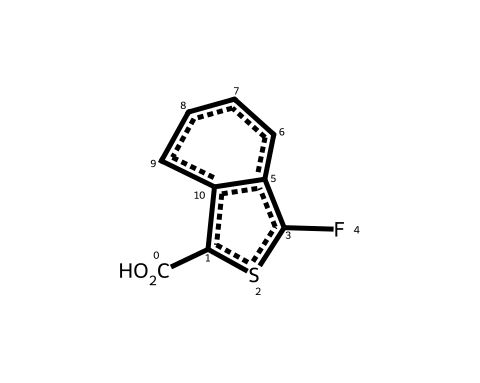 O=C(O)c1sc(F)c2ccccc12